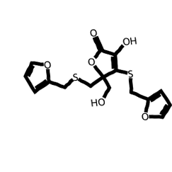 O=C1OC(CO)(CSCc2ccco2)C(SCc2ccco2)=C1O